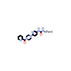 CCCCCNC(=O)Nc1ccc(N2CCN(C(=O)c3ccccn3)CC2)nc1